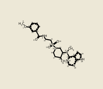 COc1cccc(C(=O)NCCS(=O)(=O)N2CCC(C)C(N(C)c3ncnc4[nH]ccc34)C2)c1